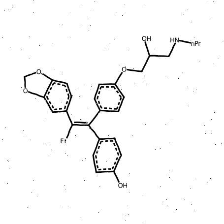 CCCNCC(O)COc1ccc(/C(=C(/CC)c2ccc3c(c2)OCO3)c2ccc(O)cc2)cc1